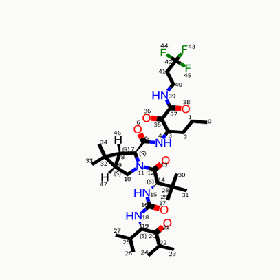 CCCC(NC(=O)[C@@H]1[C@@H]2[C@H](CN1C(=O)[C@@H](NC(=O)N[C@H](C(=O)C(C)C)C(C)C)C(C)(C)C)C2(C)C)C(=O)C(=O)NCCC(F)(F)F